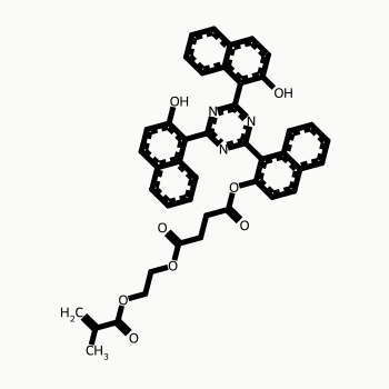 C=C(C)C(=O)OCCOC(=O)CCC(=O)Oc1ccc2ccccc2c1-c1nc(-c2c(O)ccc3ccccc23)nc(-c2c(O)ccc3ccccc23)n1